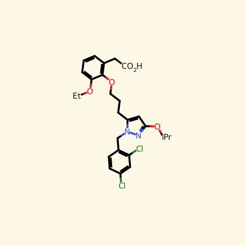 CCOc1cccc(CC(=O)O)c1OCCCc1cc(OC(C)C)nn1Cc1ccc(Cl)cc1Cl